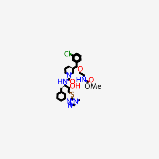 COC(=O)NCCO[C@@H](c1cccc(Cl)c1)[C@@H]1CCCN(C(=O)N[C@@H](CC2CCCCC2)[C@@H](O)CSc2nncn2C)C1